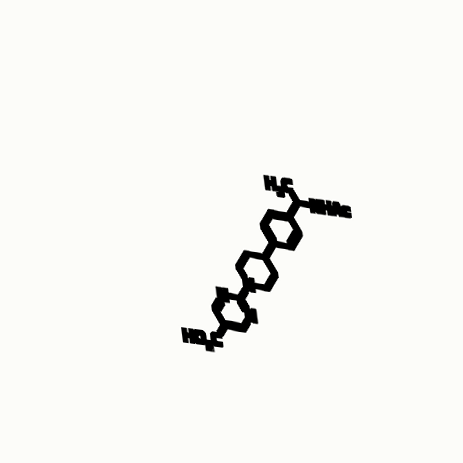 CC(=O)NC(C)c1ccc(C2CCN(c3ncc(C(=O)O)cn3)CC2)cc1